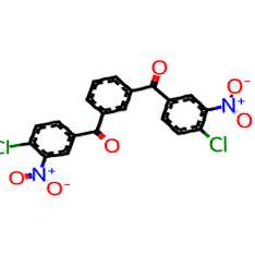 O=C(c1cccc(C(=O)c2ccc(Cl)c([N+](=O)[O-])c2)c1)c1ccc(Cl)c([N+](=O)[O-])c1